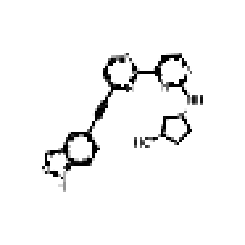 O[C@@H]1CC[C@@H](Nc2nccc(-c3nccc(C#Cc4ccc5[nH]ncc5c4)n3)n2)C1